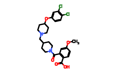 COc1ccc(C(=O)O)c(C(=O)N2CCC(CN3CCC(Oc4ccc(Cl)c(Cl)c4)CC3)CC2)c1